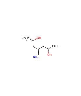 CC(CC(O)C(=O)O)CC(O)C(=O)O.N